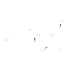 C[C@@]12CCC[C@H]1[C@@H]1C=CC3=CCC(O)=C(O)[C@]3(C)[C@H]1CC2